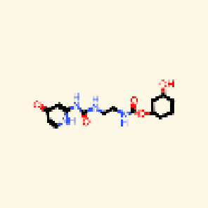 O=C(NCCNC(=O)OC1CCCC(O)C1)Nc1cc(=O)cc[nH]1